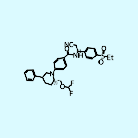 CCS(=O)(=O)c1ccc([C@H](CC#N)NC(=O)c2ccc(N3CC(c4ccccc4)CC[C@H]3COC(F)F)cc2)cc1